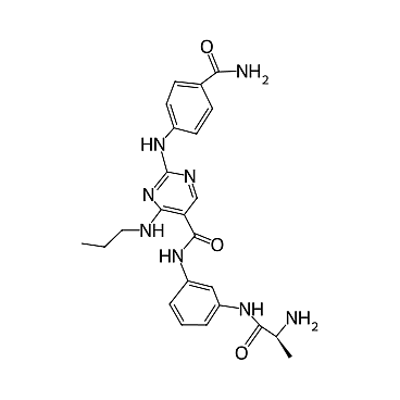 CCCNc1nc(Nc2ccc(C(N)=O)cc2)ncc1C(=O)Nc1cccc(NC(=O)[C@H](C)N)c1